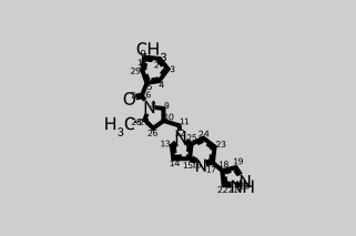 Cc1cccc(C(=O)N2CC(Cn3ccc4nc(-c5cn[nH]c5)ccc43)C[C@@H]2C)c1